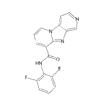 O=C(Nc1c(F)cccc1F)c1cccn2c1nc1cnccc12